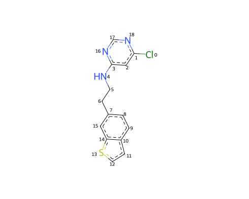 Clc1cc(NCCc2ccc3ccsc3c2)ncn1